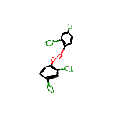 Clc1ccc(OOc2ccc(Cl)cc2Cl)c(Cl)c1